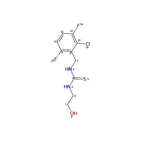 OCCNC(=S)NCc1c(F)ccc(F)c1Cl